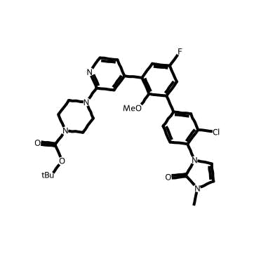 COc1c(-c2ccnc(N3CCN(C(=O)OC(C)(C)C)CC3)c2)cc(F)cc1-c1ccc(-n2ccn(C)c2=O)c(Cl)c1